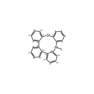 CN1c2ccccc2Sc2ccccc2-c2ccccc2-c2ccccc21